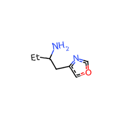 CCC(N)Cc1cocn1